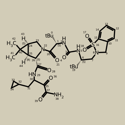 CC(C)(C)[C@H](NC(=O)N[C@H](CN1Cc2ccccc2S1(=O)=O)C(C)(C)C)C(=O)N1C[C@H]2[C@@H]([C@H]1C(=O)NC(CC1CC1)C(=O)C(N)=O)C2(C)C